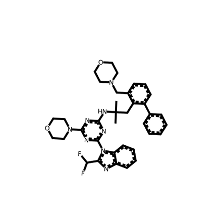 CC(C)(Cc1c(CN2CCOCC2)cccc1-c1ccccc1)Nc1nc(N2CCOCC2)nc(-n2c(C(F)F)nc3ccccc32)n1